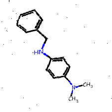 CN(C)c1ccc(NCc2ccccc2)cc1